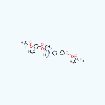 C=C(C)C(=O)OCCOc1ccc(-c2ccc(/C(C)=C/C=C(\C)OC(=O)c3ccc(OC(=O)C(=C)F)c(C)c3)cc2)cc1